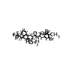 Cc1c(Br)cc(CC(CO)NC(=O)[C@@H]2CC3c4cccc5c4c(cn5C(F)(F)F)C[C@H]3N(C)C2)cc1Br